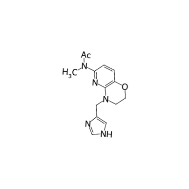 CC(=O)N(C)c1ccc2c(n1)N(Cc1c[nH]cn1)CCO2